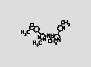 Cc1ccc(-c2cncc(C(C)Nc3cc(-c4ccc5occ(C)c5c4)nc(C)n3)c2)cn1